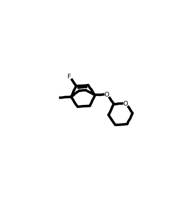 CC12CCC(OC3CCCCO3)(C=C1F)CC2